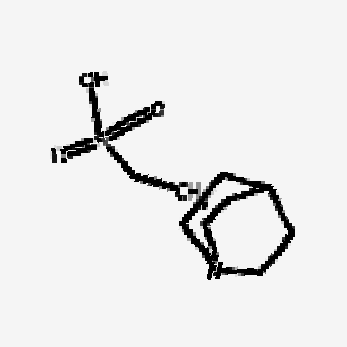 C1CN2CCC1CC2.CCS(=O)(=O)O